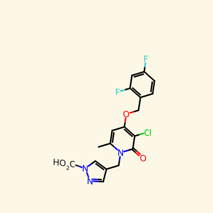 Cc1cc(OCc2ccc(F)cc2F)c(Cl)c(=O)n1Cc1cnn(C(=O)O)c1